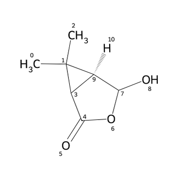 CC1(C)C2C(=O)OC(O)[C@@H]21